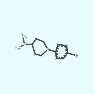 [CH2]Cc1ccc(N2CCC(N(C)C)CC2)cc1